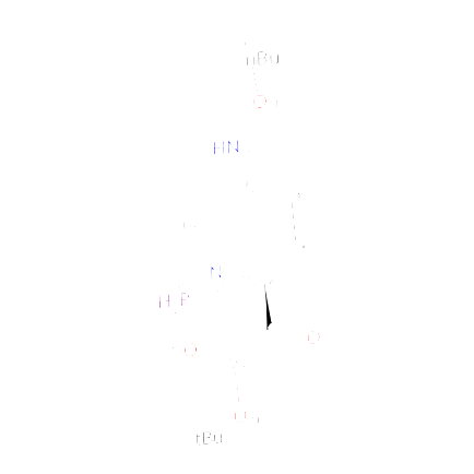 CCCCON[C@@H]1CC[C@@H](C(=O)C(=O)OC(C)(C)C)N(P)C1